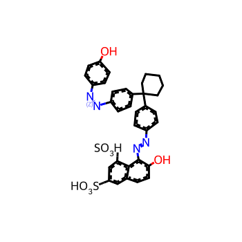 O=S(=O)(O)c1cc(S(=O)(=O)O)c2c(N=Nc3ccc(C4(c5ccc(/N=N\c6ccc(O)cc6)cc5)CCCCC4)cc3)c(O)ccc2c1